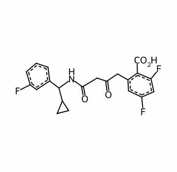 O=C(CC(=O)NC(c1cccc(F)c1)C1CC1)Cc1cc(F)cc(F)c1C(=O)O